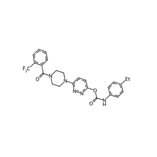 CCc1ccc(NC(=O)Oc2ccc(N3CCN(C(=O)c4ccccc4C(F)(F)F)CC3)nn2)cc1